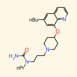 CCCCc1cc(OC2CCN(CCCN(CCC)C(N)=O)CC2)c2ncccc2c1